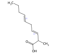 CCC/C=C/C/C=C/C(C)C(=O)O